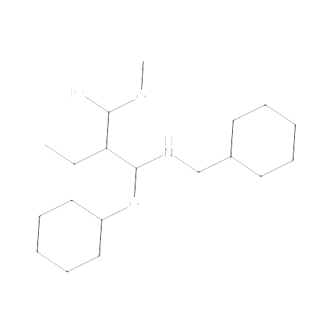 CCC(C(O)OC)C(NCC1CCCCC1)OC1CCCCC1